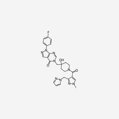 Cn1cc(C(=O)N2CCC(O)(Cn3cnc4c(cnn4-c4ccc(F)cc4)c3=O)CC2)c(Cn2cccn2)n1